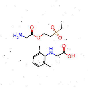 CCS(=O)(=O)CCOC(=O)CN.Cc1cccc(C)c1N[C@@H](C)C(=O)O